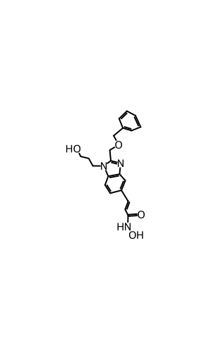 O=C(C=Cc1ccc2c(c1)nc(COCc1ccccc1)n2CCCO)NO